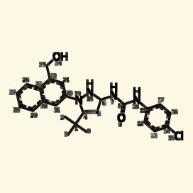 CC(C)(C)C1=CC(NC(=O)Nc2ccc(Cl)cc2)NN1c1cc(CO)c2ccccc2c1